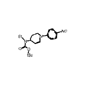 CCN(C(=O)OC(C)(C)C)C1CCN(c2ccc(N=O)cc2)CC1